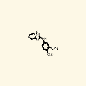 COc1ccc(NC2=N[N+]3(Cl)C=CN=CC3=N2)cc1OC